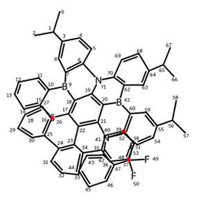 CC(C)c1ccc2c(c1)B1c3ccccc3Sc3c1c1c4c(c3-c3c(-c5ccccc5)cccc3-c3ccccc3)N(c3ccccc3C(F)(F)F)c3ccc(C(C)C)cc3B4c3cc(C(C)C)ccc3N21